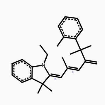 C=C(/C=C(C)/C=C1\N(CC)c2ccccc2C1(C)C)C(C)(C)c1ccccc1C